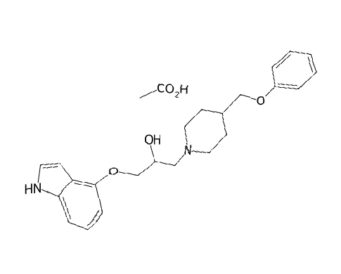 CC(=O)O.OC(COc1cccc2[nH]ccc12)CN1CCC(COc2ccccc2)CC1